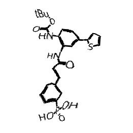 CC(C)(C)OC(=O)Nc1ccc(-c2cccs2)cc1NC(=O)C=Cc1cccc(P(=O)(O)O)c1